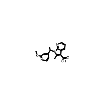 COc1cc(C(C)n2c(C)c(C(=O)O)c3cccnc32)ccn1